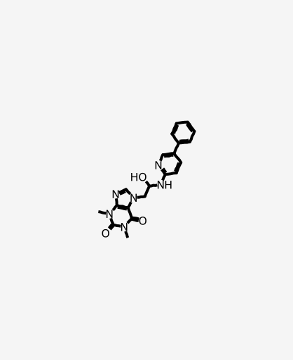 Cn1c(=O)c2c(ncn2CC(O)Nc2ccc(-c3ccccc3)cn2)n(C)c1=O